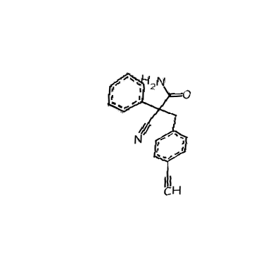 C#Cc1ccc(CC(C#N)(C(N)=O)c2ccccc2)cc1